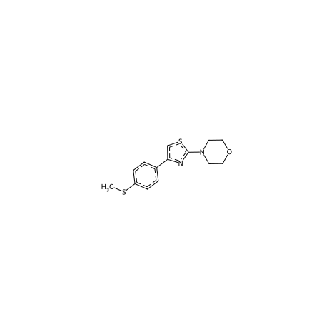 CSc1ccc(-c2csc(N3CCOCC3)n2)cc1